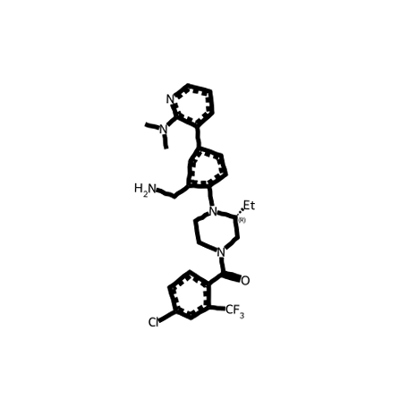 CC[C@@H]1CN(C(=O)c2ccc(Cl)cc2C(F)(F)F)CCN1c1ccc(-c2cccnc2N(C)C)cc1CN